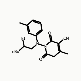 CCCCC(CC)CN(c1cccc(C)c1)N1C(=O)CC(C)=C(C#N)C1=O